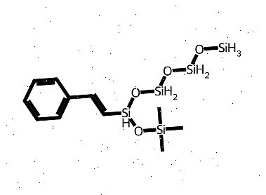 C[Si](C)(C)O[SiH](C=Cc1ccccc1)O[SiH2]O[SiH2]O[SiH3]